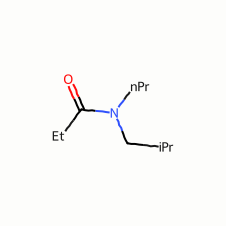 [CH2]CC(=O)N(CCC)CC(C)C